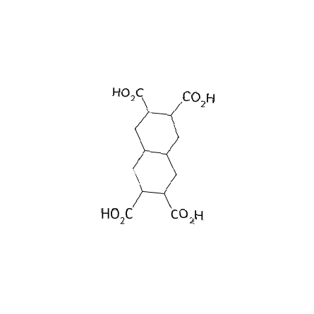 O=C(O)C1CC2CC(C(=O)O)C(C(=O)O)CC2CC1C(=O)O